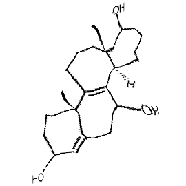 C[C@]12CCC(O)C=C1CC(O)C1=C2CC[C@]2(C)C(O)CC[C@@H]12